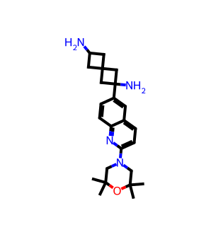 CC1(C)CN(c2ccc3cc(C4(N)CC5(CC(N)C5)C4)ccc3n2)CC(C)(C)O1